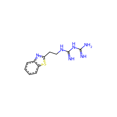 N=C(N)NC(=N)NCCc1nc2ccccc2s1